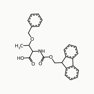 CC(OCc1ccccc1)C(NC(=O)OCC1c2ccccc2-c2ccccc21)C(=O)O